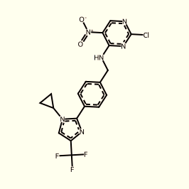 O=[N+]([O-])c1cnc(Cl)nc1NCc1ccc(-c2nc(C(F)(F)F)cn2C2CC2)cc1